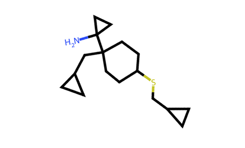 NC1(C2(CC3CC3)CCC(SCC3CC3)CC2)CC1